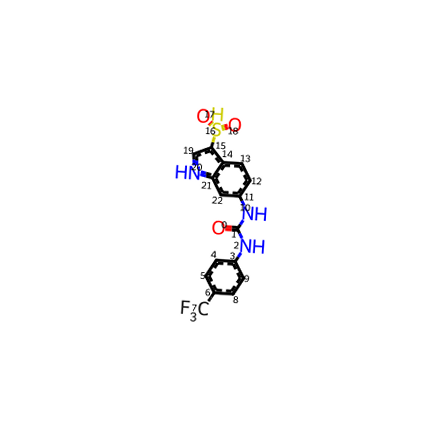 O=C(Nc1ccc(C(F)(F)F)cc1)Nc1ccc2c([SH](=O)=O)c[nH]c2c1